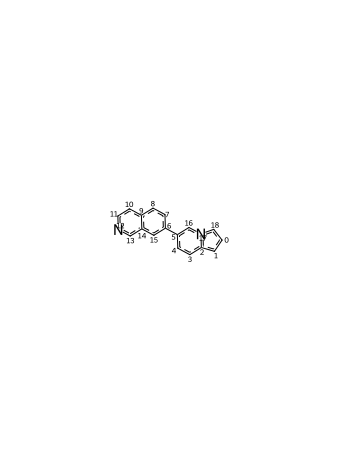 c1cc2ccc(-c3ccc4ccncc4c3)cn2c1